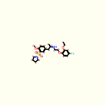 CCOc1cc(F)ccc1OCCNC(C)Cc1ccc(OC)c(S(=O)(=O)N2CCCC2)c1